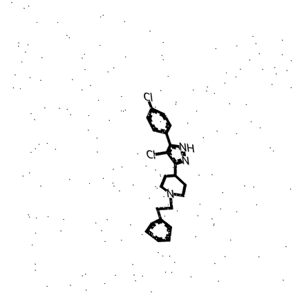 Clc1ccc(-c2[nH]nc(C3CCN(CCc4ccccc4)CC3)c2Cl)cc1